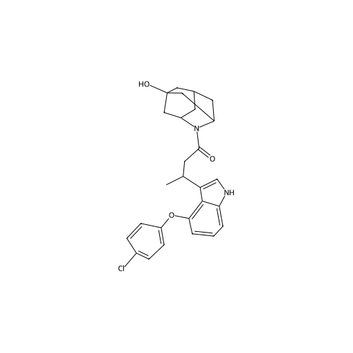 CC(CC(=O)N1C2CC3CC1CC(O)(C3)C2)c1c[nH]c2cccc(Oc3ccc(Cl)cc3)c12